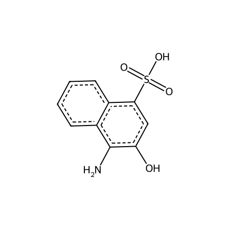 Nc1c(O)cc(S(=O)(=O)O)c2ccccc12